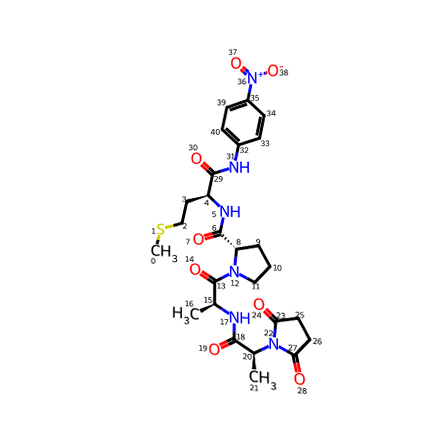 CSCC[C@H](NC(=O)[C@@H]1CCCN1C(=O)[C@H](C)NC(=O)[C@H](C)N1C(=O)CCC1=O)C(=O)Nc1ccc([N+](=O)[O-])cc1